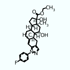 CCOC(=O)[C@@]1(O)CC[C@H]2[C@@H]3CCC4=Cc5c(cnn5-c5ccc(F)cc5)C[C@]4(C)[C@H]3[C@@H](O)C[C@@]21C